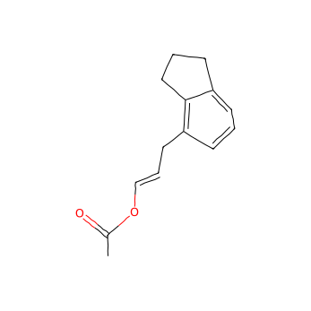 CC(=O)OC=CCc1cccc2c1CCC2